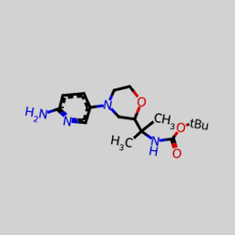 CC(C)(C)OC(=O)NC(C)(C)C1CN(c2ccc(N)nc2)CCO1